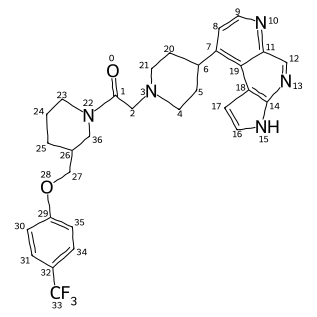 O=C(CN1CCC(c2ccnc3cnc4[nH]ccc4c23)CC1)N1CCCC(COc2ccc(C(F)(F)F)cc2)C1